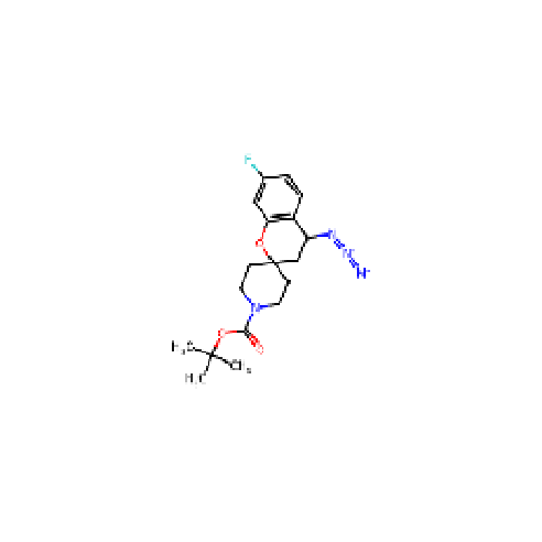 CC(C)(C)OC(=O)N1CCC2(CC1)CC(N=[N+]=[N-])c1ccc(F)cc1O2